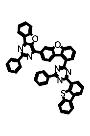 c1ccc(-c2nc(-c3cccc4c3sc3ccccc34)nc(-c3cccc4oc5cc(-c6nc(-c7ccccc7)nc7c6oc6ccccc67)ccc5c34)n2)cc1